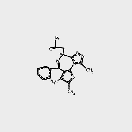 Cc1sc2c(c1C)C(c1ccccc1)=N[C@@H](CC(=O)C(C)C)c1nnc(C)n1-2